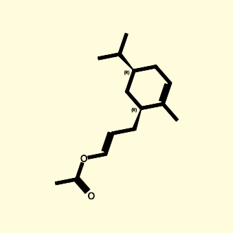 CC(=O)OC=CC[C@H]1C[C@@H](C(C)C)CC=C1C